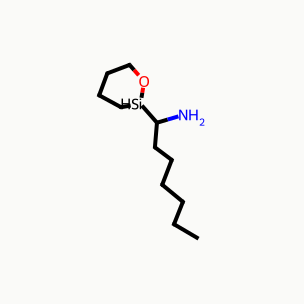 CCCCCCC(N)[SiH]1CCCCO1